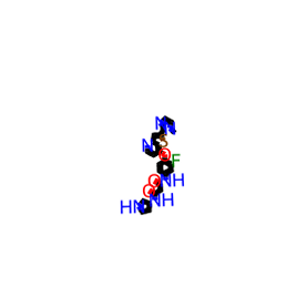 Cn1ccnc1-c1cc2nccc(Oc3ccc(NC(=O)CC(=O)NC4CCNC4)cc3F)c2s1